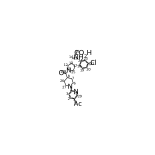 CC(=O)c1ccc(N2CCC(C(=O)N3C[C@H](CNC(=O)O)[C@H](c4ccc(Cl)cc4)C3)CC2)nc1